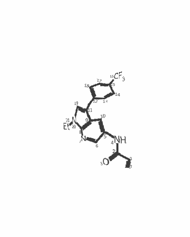 C=CC(=O)Nc1cnc2c(c1)c(-c1ccc(C(F)(F)F)cc1)cn2CC